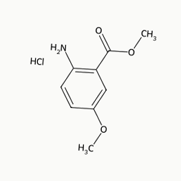 COC(=O)c1cc(OC)ccc1N.Cl